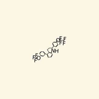 FC(F)C(F)(F)Oc1ccc(C2CCc3c(cccc3-c3cccc(OC(F)(F)F)c3)N2)cc1